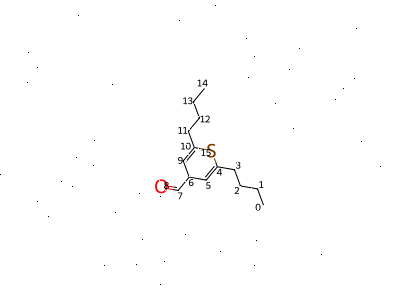 CCCCC1=CC(C=O)C=C(CCCC)S1